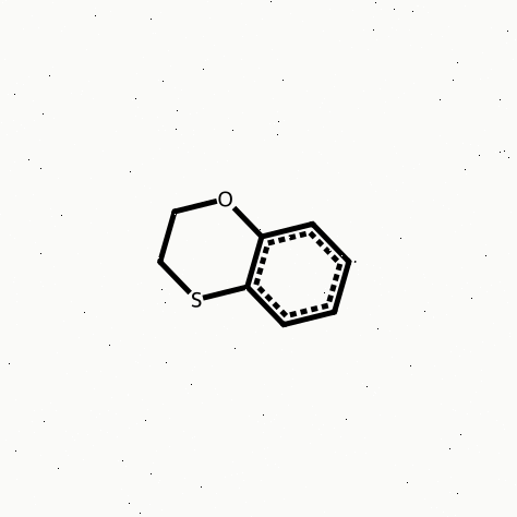 [c]1ccc2c(c1)OCCS2